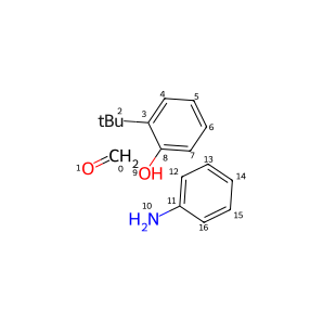 C=O.CC(C)(C)c1ccccc1O.Nc1ccccc1